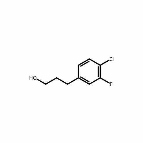 OCCCc1ccc(Cl)c(F)c1